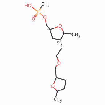 CC1CCC(COCC[C@@H]2CC(COP(C)(=O)O)OC2C)O1